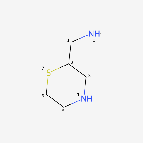 [NH]CC1CNCCS1